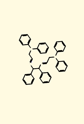 C(/CP(c1ccccc1)c1ccccc1)=N\C(c1ccccc1)C(/N=C/CP(c1ccccc1)c1ccccc1)c1ccccc1